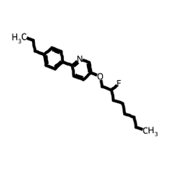 CCCCCCC(F)COc1ccc(-c2ccc(CCC)cc2)nc1